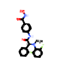 O=C(NO)c1ccc(NC(=O)[C@H](c2ccccc2)N(c2c(F)cccc2F)S(=O)(=O)O)cc1